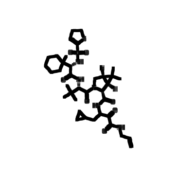 C=CCNC(=O)C(=O)C(CC1CC1)NC(=O)[C@@H]1[C@@H]2[C@H](CN1C(=O)[C@@H](NC(=O)[C@@H](NS(=O)(=O)C1=CCCS1)C1(C)CCCCC1)C(C)(C)C)C2(C)C